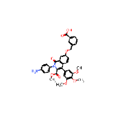 COC(=O)c1c(-c2cc(OC)c(OC)c(OC)c2)c2ccc(OCc3cccc(C(=O)O)c3)cc2c(=O)n1-c1ccc(N)cc1